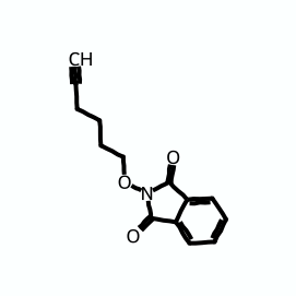 C#CCCCCON1C(=O)c2ccccc2C1=O